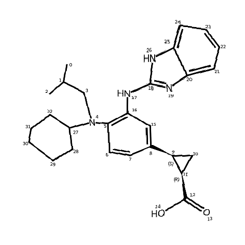 CC(C)CN(c1ccc([C@H]2C[C@H]2C(=O)O)cc1Nc1nc2ccccc2[nH]1)C1CCCCC1